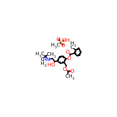 CC(=O)OCc1cc(C(O)CNC(C)(C)C)ccc1OC(=O)c1ccccc1C.CS(=O)(=O)O